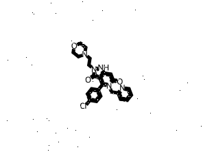 O=c1c2c(-c3ccc(Cl)cc3)n(Cc3ccccn3)c(=O)cc2[nH]n1CCN1CCOCC1